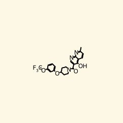 Cc1ccc2c(O)c(C(=O)N3CCC(Oc4cccc(OC(F)(F)F)c4)CC3)cnc2n1